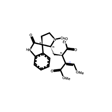 CCC(=O)[C@H](C[C@H]1N(C=O)CC[C@@]12C(=O)Nc1ccccc12)/C(=C/OC)C(=O)OC